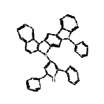 C1=C(c2ccccc2)NC(c2ccccc2)C=C1n1c2cc3c(cc2c2c4ccccc4ccc21)c1ccccc1n3-c1ccccc1